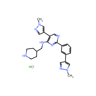 Cl.Cn1cc(-c2cccc(-c3ncc(-c4cnn(C)c4)c(NCC4CCNCC4)n3)c2)cn1